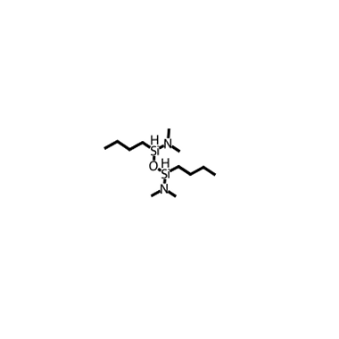 CCCC[SiH](O[SiH](CCCC)N(C)C)N(C)C